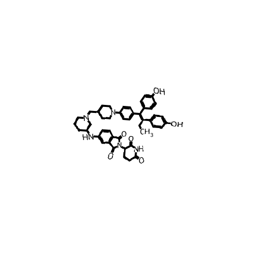 CCC(=C(c1ccc(O)cc1)c1ccc(N2CCC(CN3CCCC(Nc4ccc5c(c4)C(=O)N(C4CCC(=O)NC4=O)C5=O)C3)CC2)cc1)c1ccc(O)cc1